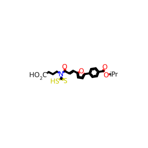 CC(C)OC(=O)c1ccc(-c2ccc(/C=C/C(=O)N(CCCC(=O)O)C(=S)S)o2)cc1